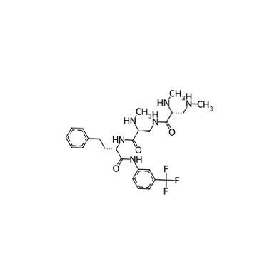 CNC[C@@H](NC)C(=O)NC[C@H](NC)C(=O)N[C@@H](CCc1ccccc1)C(=O)Nc1cccc(C(F)(F)F)c1